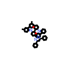 Cc1ccc2c(c1)c1cc(C)ccc1n2-c1ccc(-c2nc(-c3ccccc3)cc(-c3ccccc3)n2)cc1-c1ccccc1-n1c2ccccc2c2ccccc21